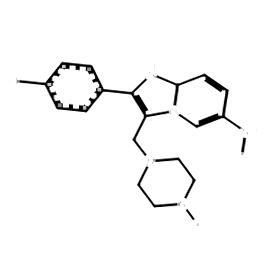 CCNC1=CN2C(CN3CCN(C(C)=O)CC3)=C(c3ccc(Cl)cc3)NC2C=C1